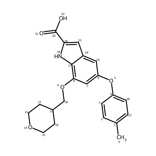 Cc1ccc(Oc2cc(OCC3CCOCC3)c3[nH]c(C(=O)O)cc3c2)cc1